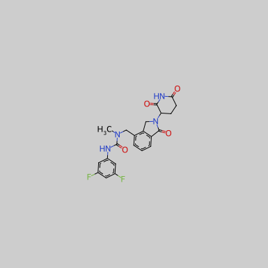 CN(Cc1cccc2c1CN(C1CCC(=O)NC1=O)C2=O)C(=O)Nc1cc(F)cc(F)c1